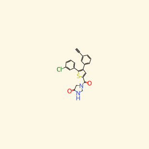 C#Cc1cccc(-c2cc(C(=O)N3CNC(=O)C3)sc2-c2cccc(Cl)c2)c1